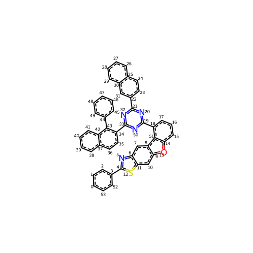 c1ccc(-c2nc3cc4c(cc3s2)oc2cccc(-c3nc(-c5ccc6ccccc6c5)nc(-c5ccc6ccccc6c5-c5ccccc5)n3)c24)cc1